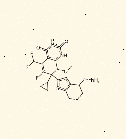 COC1c2[nH]c(=O)[nH]c(=O)c2C(C(F)F)=C(F)C1(c1cc2c(s1)CCCC2CN)C1CC1